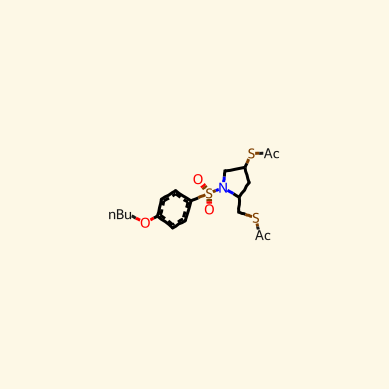 CCCCOc1ccc(S(=O)(=O)N2CC(SC(C)=O)CC2CSC(C)=O)cc1